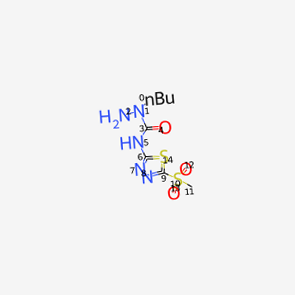 CCCCN(N)C(=O)Nc1nnc(S(C)(=O)=O)s1